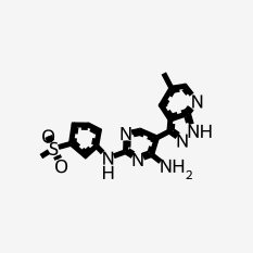 Cc1cnc2[nH]nc(-c3cnc(Nc4cccc(S(C)(=O)=O)c4)nc3N)c2c1